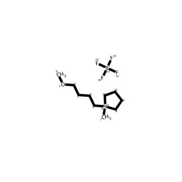 COCCCC[N+]1(C)CCCC1.F[B-](F)(F)F